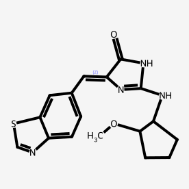 COC1CCCC1NC1=N/C(=C\c2ccc3ncsc3c2)C(=O)N1